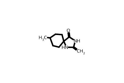 C=C1NC(=O)C2(CCC(C)CC2)N1